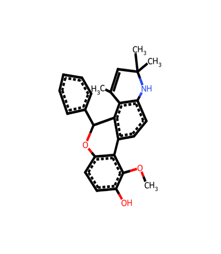 COc1c(O)ccc2c1-c1ccc3c(c1C(c1ccccc1)O2)C(C)=CC(C)(C)N3